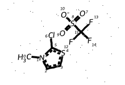 C[n+]1ccsc1Cl.O=S(=O)([O-])C(F)(F)F